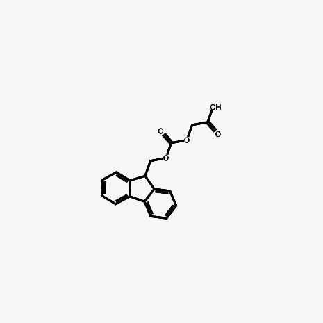 O=C(O)COC(=O)OCC1c2ccccc2-c2ccccc21